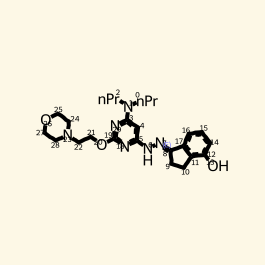 CCCN(CCC)c1cc(N/N=C2\CCc3c(O)cccc32)nc(OCCN2CCOCC2)n1